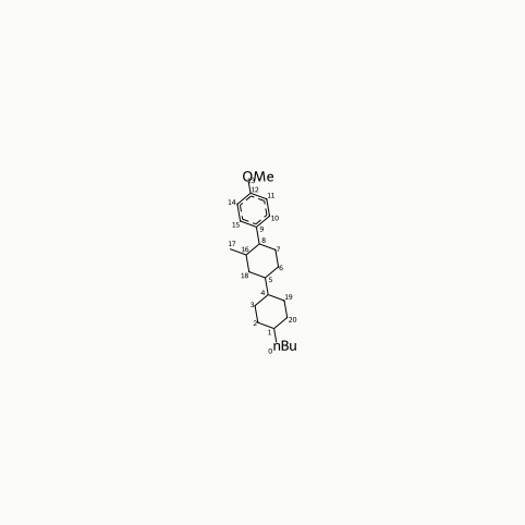 CCCCC1CCC(C2CCC(c3ccc(OC)cc3)C(C)C2)CC1